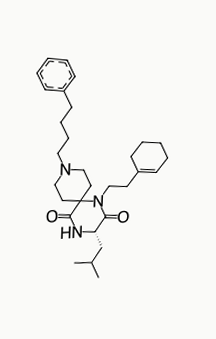 CC(C)C[C@@H]1NC(=O)C2(CCN(CCCCc3ccccc3)CC2)N(CCC2=CCCCC2)C1=O